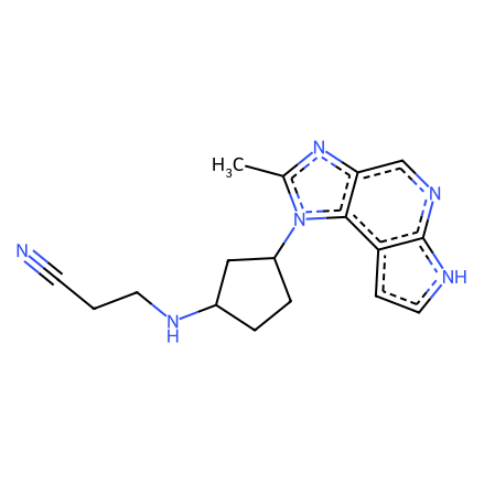 Cc1nc2cnc3[nH]ccc3c2n1C1CCC(NCCC#N)C1